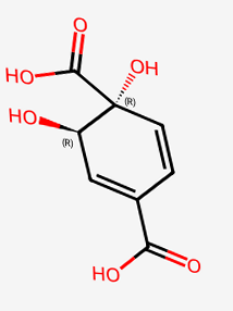 O=C(O)C1=C[C@@H](O)[C@@](O)(C(=O)O)C=C1